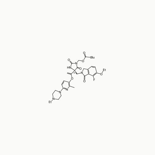 C=C(Oc1ccc(N2CCN(CC)CC2)nc1C)[C@]1(CN2Cc3ccc(OCC)c(F)c3C2=O)NC(=O)N(COC(=O)C(C)(C)C)C1=O